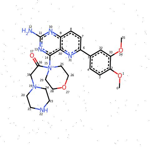 COc1ccc(-c2ccc3nc(N)nc([N+]4(C(=O)CN5CCNCC5)CCOCC4)c3n2)cc1OC